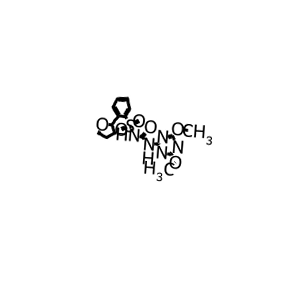 COc1nc(NC(=O)NS(=O)(=O)c2ccccc2C2CCCO2)nc(OC)n1